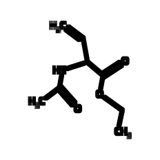 C=CC(NC(C)=O)C(=O)OCC